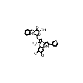 CC1(C)[C@@H](CC(=O)N[C@@H](Cc2ccccc2)C(=O)NO)C[C@H]1c1cc(-c2cccnc2)nn1-c1ccc(Cl)c(Cl)c1